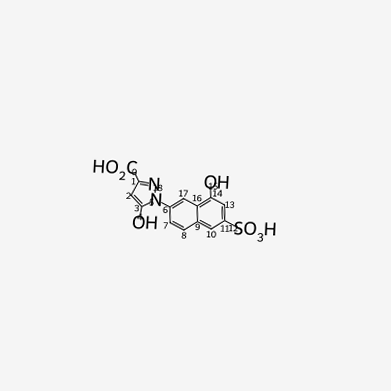 O=C(O)c1cc(O)n(-c2ccc3cc(S(=O)(=O)O)cc(O)c3c2)n1